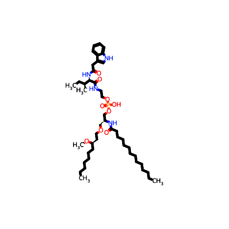 CCCCCCCCCCCCCC(=O)N[C@H](COCC[C@@H](CCCCCCC)OC)COP(=O)(O)OCCNC(=O)[C@@H](NC(=O)Cc1c[nH]c2ccccc12)[C@@H](C)CC